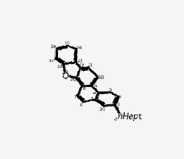 CCCCCCCc1ccc2c(ccc3c2ccc2c4ccccc4oc23)c1